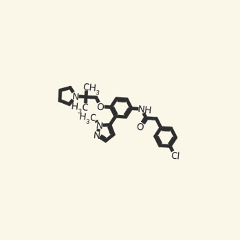 Cn1nccc1-c1cc(NC(=O)Cc2ccc(Cl)cc2)ccc1OCC(C)(C)N1CCCC1